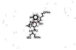 CNCC(CC(C)(C)C)NC(=O)N1CCC[C@@H](C(O)(CCCCOC)c2cccc(F)c2OCC2CC2)C1